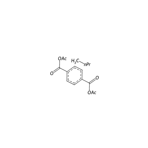 CC(=O)OC(=O)c1ccc(C(=O)OC(C)=O)cc1.CCCC